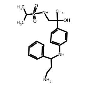 CC(C)S(=O)(=O)NCC(C)(O)c1ccc(NC(CCN)c2ccccc2)cc1